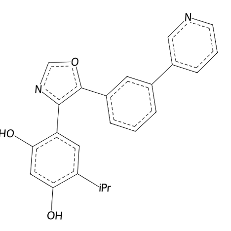 CC(C)c1cc(-c2ncoc2-c2cccc(-c3cccnc3)c2)c(O)cc1O